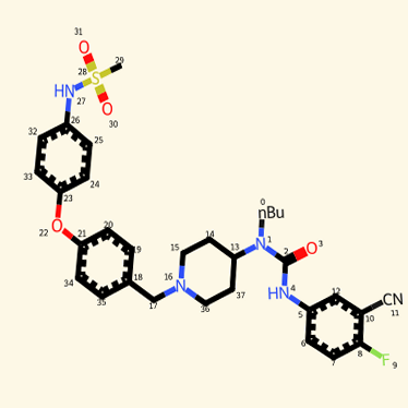 CCCCN(C(=O)Nc1ccc(F)c(C#N)c1)C1CCN(Cc2ccc(Oc3ccc(NS(C)(=O)=O)cc3)cc2)CC1